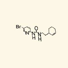 O=C(NCCC1C=CCCC1)Nc1ccc(Br)cn1